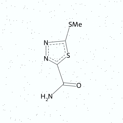 CSc1nnc(C(N)=O)s1